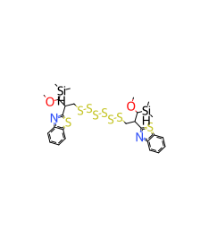 COC(C(CSSSSSSCC(c1nc2ccccc2s1)C(OC)[SiH](C)C)c1nc2ccccc2s1)[SiH](C)C